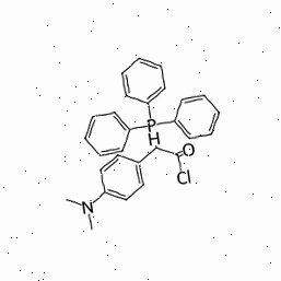 CN(C)c1ccc(C(C(=O)Cl)[PH](c2ccccc2)(c2ccccc2)c2ccccc2)cc1